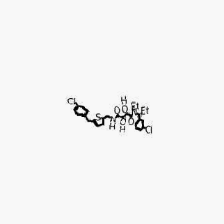 CC[C@H](c1cccc(Cl)c1)N(CC)C(=O)[C@H](O)[C@@H](O)C(=O)NCC1CC=C(Cc2ccc(Cl)cc2)S1